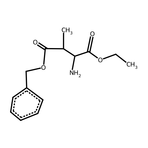 CCOC(=O)C(N)C(C)C(=O)OCc1ccccc1